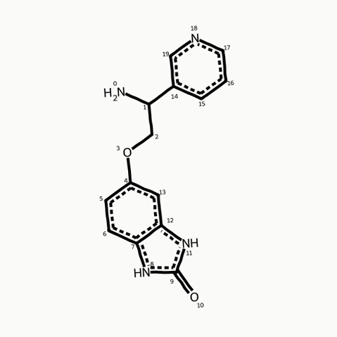 NC(COc1ccc2[nH]c(=O)[nH]c2c1)c1cccnc1